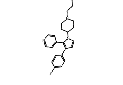 O=[N+]([O-])CCN1CCC(n2ccc(-c3ccc(F)cc3)c2-c2ccncc2)CC1